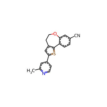 Cc1cc(-c2cc3c(s2)-c2ccc(C#N)cc2OCC3)ccn1